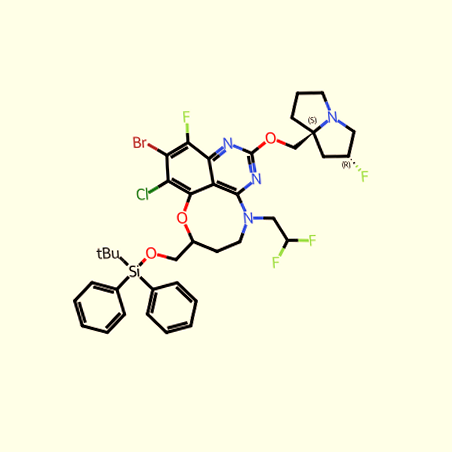 CC(C)(C)[Si](OCC1CCN(CC(F)F)c2nc(OC[C@@]34CCCN3C[C@H](F)C4)nc3c(F)c(Br)c(Cl)c(c23)O1)(c1ccccc1)c1ccccc1